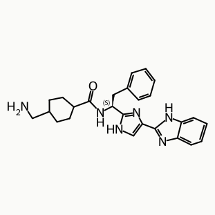 NCC1CCC(C(=O)N[C@@H](Cc2ccccc2)c2nc(-c3nc4ccccc4[nH]3)c[nH]2)CC1